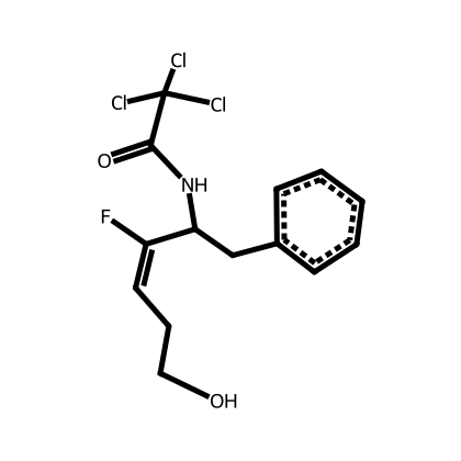 O=C(NC(Cc1ccccc1)/C(F)=C\CCO)C(Cl)(Cl)Cl